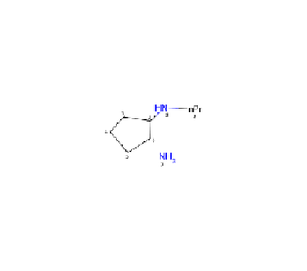 CCCNC1CCCC1.N